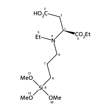 CCOC(=O)[C@H](CC(=O)O)N(CC)CCC[Si](OC)(OC)OC